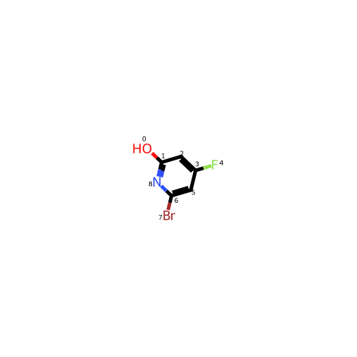 Oc1cc(F)cc(Br)n1